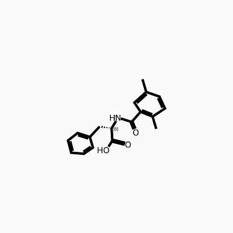 Cc1ccc(C)c(C(=O)N[C@@H](Cc2ccccc2)C(=O)O)c1